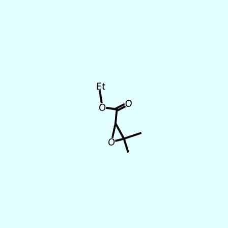 CCOC(=O)C1OC1(C)C